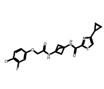 O=C(COc1ccc(Cl)c(F)c1)NC12CC(NC(=O)c3nc(C4CC4)cs3)(C1)C2